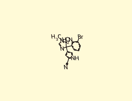 CN1C=NC(c2c[nH]c(C#N)c2)(c2cccc(Br)c2N)C1=O